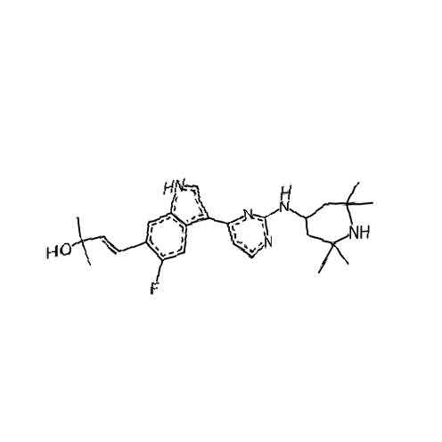 CC(C)(O)C=Cc1cc2[nH]cc(-c3ccnc(NC4CC(C)(C)NC(C)(C)C4)n3)c2cc1F